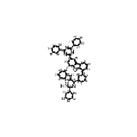 N=C(/N=C(/c1cccc(-c2cccc3c2oc2ccc(-c4nc(-c5ccccc5)nc(-c5ccccc5)n4)cc23)c1)c1cc2ccccc2o1)c1ccccc1